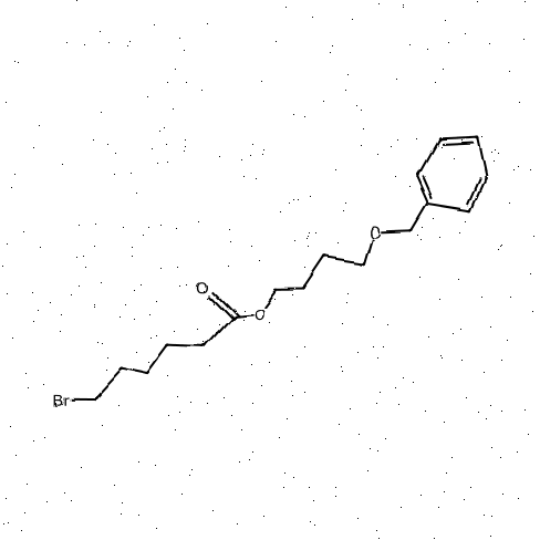 O=C(CCCCCBr)OCCCCOCc1ccccc1